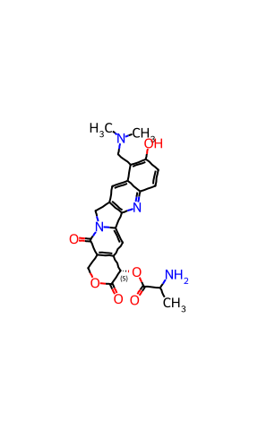 CC(N)C(=O)O[C@@H]1C(=O)OCc2c1cc1n(c2=O)Cc2cc3c(CN(C)C)c(O)ccc3nc2-1